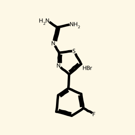 Br.NC(N)=Nc1nc(-c2cccc(F)c2)cs1